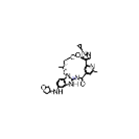 Cc1cc2cc(n1)-c1cnn(C3CC3)c1OCCCC(C)CN1/C(=N/C2=O)Nc2cc(N[C@@H]3CCOC3)ccc21